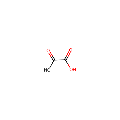 N#CC(=O)C(=O)O